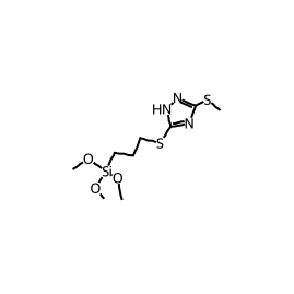 CO[Si](CCCSc1nc(SC)n[nH]1)(OC)OC